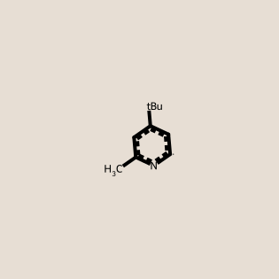 Cc1cc(C(C)(C)C)c[c]n1